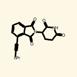 CCCC#Cc1cccc2c1C(=O)N(C1CCC(=O)NC1=O)C2=O